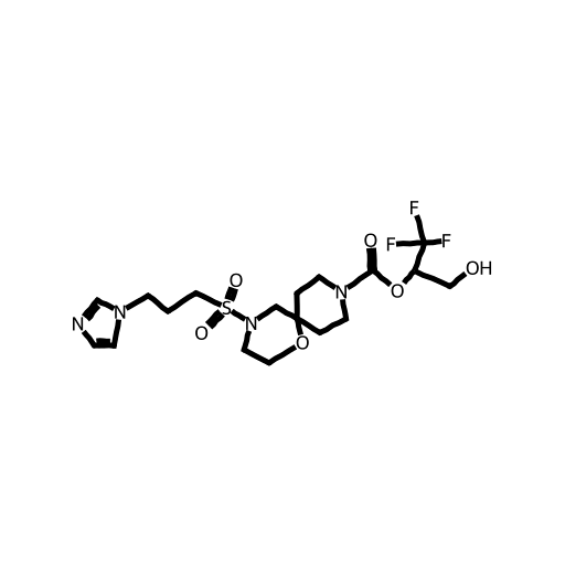 O=C(OC(CO)C(F)(F)F)N1CCC2(CC1)CN(S(=O)(=O)CCCn1ccnc1)CCO2